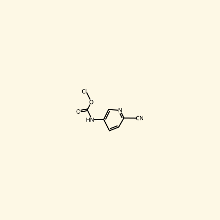 N#Cc1ccc(NC(=O)OCl)cn1